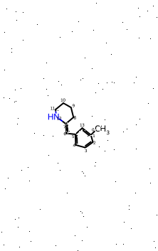 Cc1cccc(C=C2CCCCN2)c1